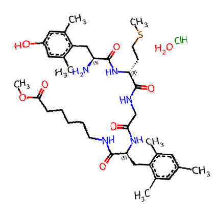 COC(=O)CCCCCNC(=O)[C@H](Cc1c(C)cc(C)cc1C)NC(=O)CNC(=O)[C@@H](CCSC)NC(=O)[C@@H](N)Cc1c(C)cc(O)cc1C.Cl.O